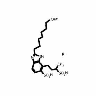 CCCCCCCCCCCCCCCCCc1nc2ccc(S(=O)(=O)O)c(CCC(C)S(=O)(=O)O)c2[nH]1.[K]